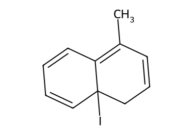 CC1=C2C=CC=CC2(I)CC=C1